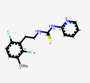 COc1ccc(F)c(CCNC(=S)Nc2ccccn2)c1F